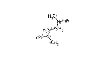 CCCN(C)[SiH2][SiH2]N(C)CCC